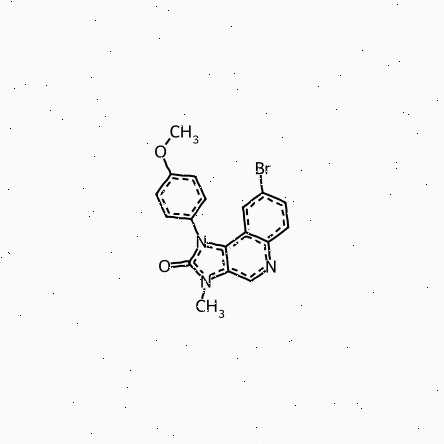 COc1ccc(-n2c(=O)n(C)c3cnc4ccc(Br)cc4c32)cc1